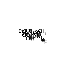 CCOC(=O)C[C@H](NC(=O)[C@H](CC(C)C)n1nc(CCN2CC(F)C2)cc(C)c1=O)c1cc(-c2c(C)cccc2C)cc(Cl)c1F